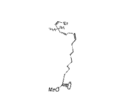 [2H]C([2H])(/C=C\CC)/C=C\C/C=C\CCCCCCCC(=O)OC